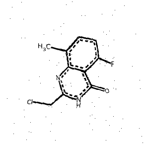 Cc1ccc(F)c2c(=O)[nH]c(CCl)nc12